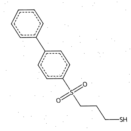 O=S(=O)(CCCS)c1ccc(-c2ccccc2)cc1